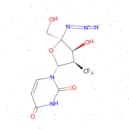 [N-]=[N+]=N[C@]1(CO)O[C@@H](n2ccc(=O)[nH]c2=O)[C@H](C(F)(F)F)[C@@H]1O